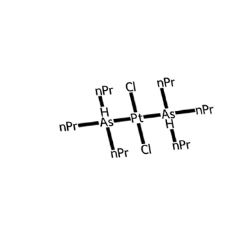 CCC[AsH](CCC)(CCC)[Pt]([Cl])([Cl])[AsH](CCC)(CCC)CCC